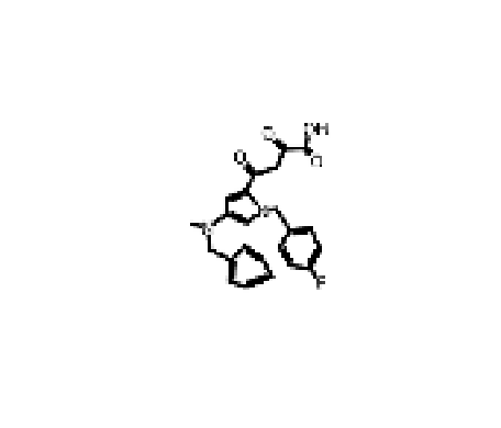 CN(Cc1ccccc1)c1cc(C(=O)CC(=O)C(=O)O)n(Cc2ccc(F)cc2)c1